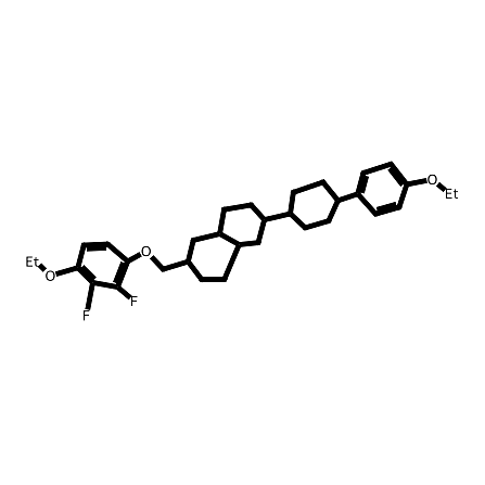 CCOc1ccc(C2CCC(C3CCC4CC(COc5ccc(OCC)c(F)c5F)CCC4C3)CC2)cc1